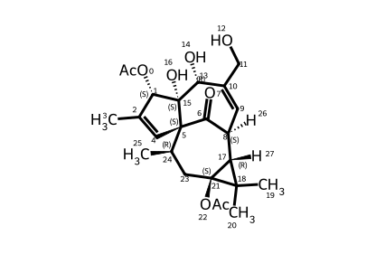 CC(=O)O[C@H]1C(C)=C[C@]23C(=O)[C@@H](C=C(CO)[C@@H](O)[C@]12O)[C@@H]1C(C)(C)[C@]1(OC(C)=O)C[C@H]3C